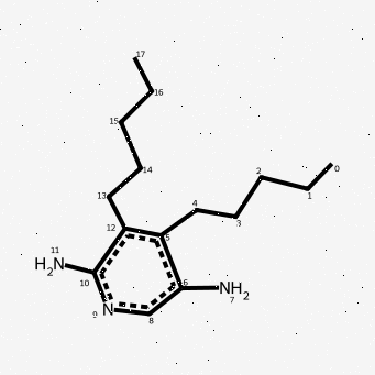 CCCCCc1c(N)cnc(N)c1CCCCC